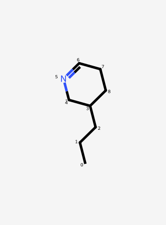 CCCC1[CH]N=CCC1